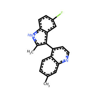 Cc1ccc2c(-c3c(C)[nH]c4ccc(F)cc34)ccnc2c1